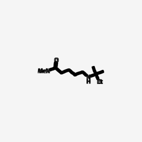 CCC(C)(C)NCCCCC(=O)NC